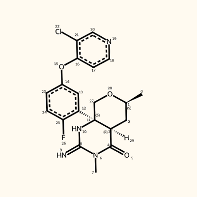 C[C@H]1C[C@H]2C(=O)N(C)C(=N)N[C@@]2(c2cc(Oc3ccncc3Cl)ccc2F)CO1